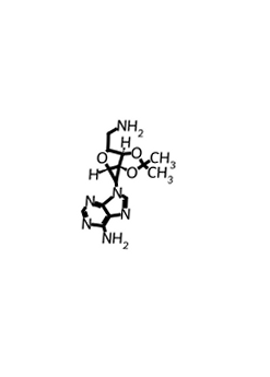 CC1(C)O[C@@H]2C(CN)O[C@H]3C(n4cnc5c(N)ncnc54)[C@@]23O1